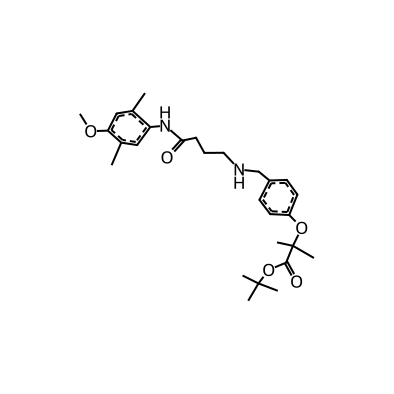 COc1cc(C)c(NC(=O)CCCNCc2ccc(OC(C)(C)C(=O)OC(C)(C)C)cc2)cc1C